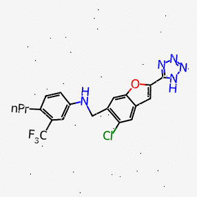 CCCc1ccc(NCc2cc3oc(-c4nnn[nH]4)cc3cc2Cl)cc1C(F)(F)F